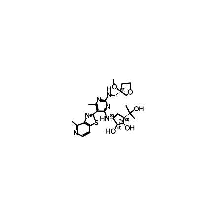 CO[C@@]1(CNc2nc(C)c(-c3nc4c(C)nccc4s3)c(N[C@@H]3C[C@H](C(C)(C)O)[C@@H](O)[C@H]3O)n2)CCOC1